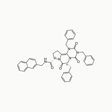 O=C(NCc1ccc2ccccc2c1)[C@@H]1CCC2=C3N(Cc4ccccc4)C(=O)N(Cc4ccccc4)C(=O)N3[C@H](Cc3ccccc3)C(=O)N21